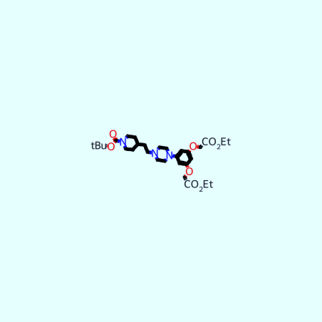 CCOC(=O)COc1cc(OCC(=O)OCC)cc(N2CCN(CCC3CCN(C(=O)OC(C)(C)C)CC3)CC2)c1